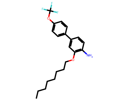 CCCCCCCCOc1cc(-c2ccc(OC(F)(F)F)cc2)ccc1N